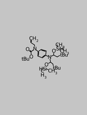 C=CCN(C(=O)OC(C)(C)C)c1ccc(N(C(CC(C)(C)C)O[SiH](C)C)C(CC(C)(C)C)O[SiH](C)C)cc1